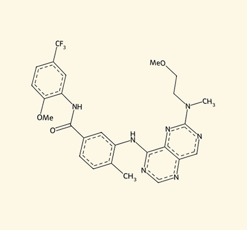 COCCN(C)c1ncc2ncnc(Nc3cc(C(=O)Nc4cc(C(F)(F)F)ccc4OC)ccc3C)c2n1